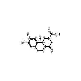 O=C(O)N1CC(=O)N2CCc3cc(Br)c(F)cc3[C@H]2C1